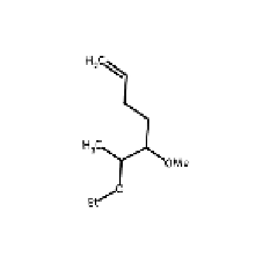 C=[C]CCC(OC)C(C)OCC